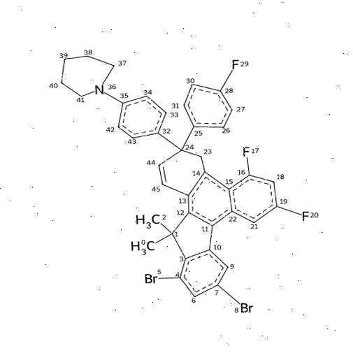 CC1(C)c2c(Br)cc(Br)cc2-c2c1c1c(c3c(F)cc(F)cc23)CC(c2ccc(F)cc2)(c2ccc(N3CCCCC3)cc2)C=C1